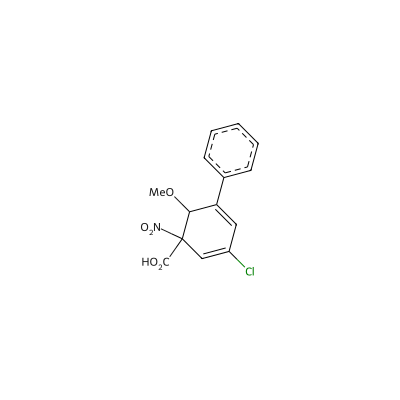 COC1C(c2ccccc2)=CC(Cl)=CC1(C(=O)O)[N+](=O)[O-]